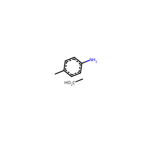 CC(=O)O.Cc1ccc(N)cc1